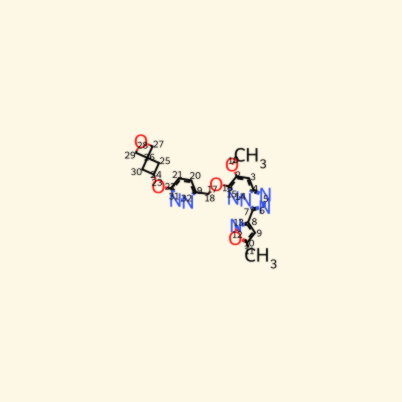 COc1cc2nnc(-c3cc(C)on3)n2nc1OCc1ccc(OC2CC3(COC3)C2)nn1